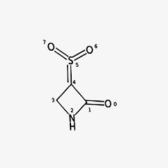 O=C1NCC1=S(=O)=O